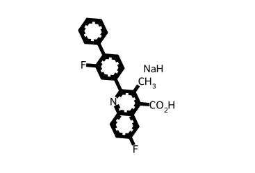 Cc1c(-c2ccc(-c3ccccc3)c(F)c2)nc2ccc(F)cc2c1C(=O)O.[NaH]